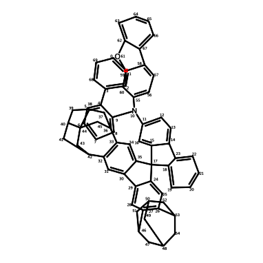 c1ccc(-c2ccccc2N(c2ccc3c(c2)C2(c4ccccc4-3)c3cc4c(cc3-c3cc5c(cc32)C2CC3CC6CC5CC63C2)C2CC3CC(C2)CC4C3)c2ccc3c(c2)oc2ccccc23)cc1